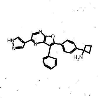 NC1(c2ccc(-c3oc4ncc(-c5cn[nH]c5)nc4c3-c3ccccc3)cc2)CCC1